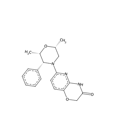 C[C@@H]1CN(c2ccc3c(n2)NC(=O)CO3)[C@H](c2ccccc2)[C@H](C)O1